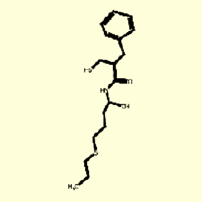 CCCSCCCC(O)NC(=O)C(CS)Cc1ccccc1